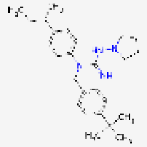 CCC(C)c1ccc(N(Cc2ccc(C(C)(C)C)cc2)C(=N)NN2CCCC2)cc1